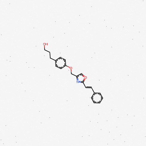 OCCCc1ccc(OCc2coc(/C=C/c3ccccc3)n2)cc1